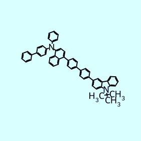 CC(C)(C)n1c2ccccc2c2cc(-c3ccc(-c4ccc(-c5ccc(N(c6ccccc6)c6ccc(-c7ccccc7)cc6)c6ccccc56)cc4)cc3)ccc21